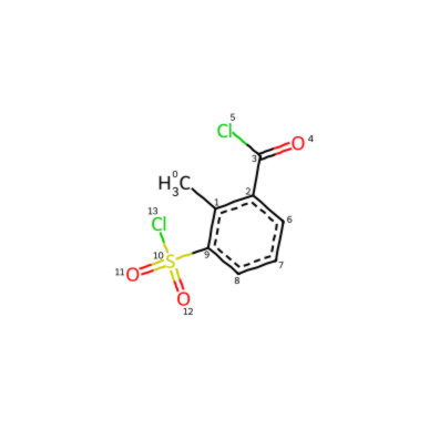 Cc1c(C(=O)Cl)cccc1S(=O)(=O)Cl